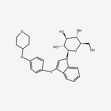 OC[C@H]1O[C@@H](n2cc(Sc3ccc(OC4CCOCC4)cc3)c3ccccc32)[C@H](O)[C@@H](O)[C@@H]1O